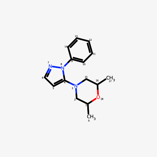 CC1CN(c2ccnn2-c2ccccc2)CC(C)O1